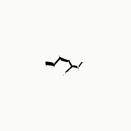 C=C/C=C\C(I)=N/C